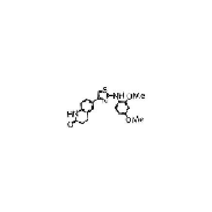 COc1ccc(Nc2nc(-c3ccc4c(c3)CCC(=O)N4)cs2)c(OC)c1